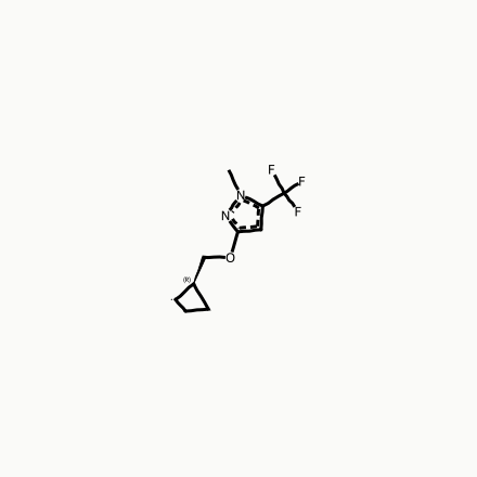 Cn1nc(OC[C@@H]2[CH]CC2)cc1C(F)(F)F